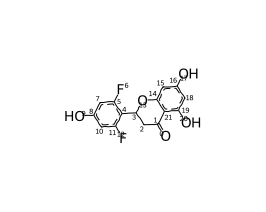 O=C1CC(c2c(F)cc(O)cc2F)Oc2cc(O)cc(O)c21